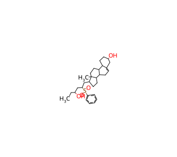 CCC(O)CC(CC1CCC2C3CC=C4CC(O)CCC4C3CCC12C)S(=O)(=O)c1ccccc1